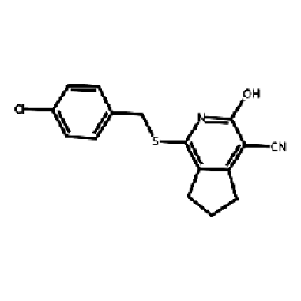 N#Cc1c(O)nc(SCc2ccc(Cl)cc2)c2c1CCC2